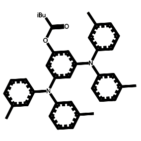 CCC(C)C(=O)Oc1cc(N(c2cccc(C)c2)c2cccc(C)c2)cc(N(c2cccc(C)c2)c2cccc(C)c2)c1